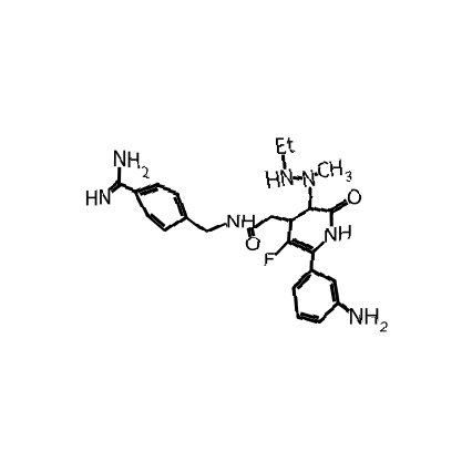 CCNN(C)C1C(=O)NC(c2cccc(N)c2)=C(F)C1CC(=O)NCc1ccc(C(=N)N)cc1